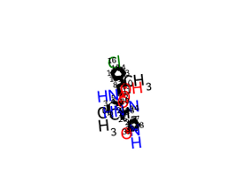 CC(C)C[C@H](NC(=O)CC(C)(O)c1ccc(Cl)cc1)C(=O)NC(C#N)C[C@@H]1CCNC1=O